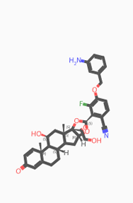 C[C@]12C=CC(=O)C=C1CC[C@@H]1C2[C@@H](O)C[C@@]2(C)C1C[C@H]1O[C@H](c3c(C#N)ccc(OCc4cccc(N)c4)c3F)O[C@]12C(=O)CO